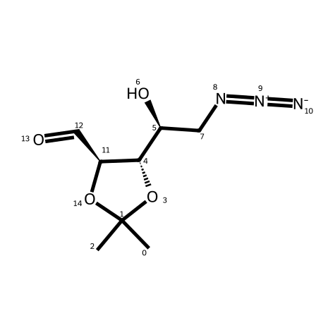 CC1(C)O[C@@H]([C@@H](O)CN=[N+]=[N-])[C@H](C=O)O1